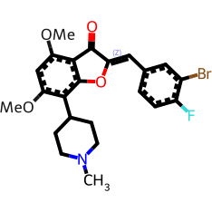 COc1cc(OC)c(C2CCN(C)CC2)c2c1C(=O)/C(=C/c1ccc(F)c(Br)c1)O2